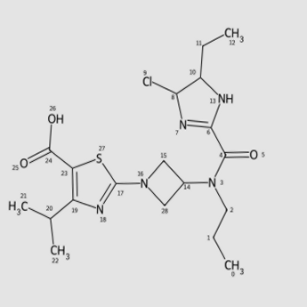 CCCN(C(=O)C1=NC(Cl)C(CC)N1)C1CN(c2nc(C(C)C)c(C(=O)O)s2)C1